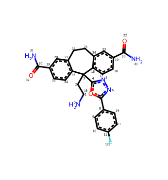 NCCC1(c2nnc(-c3ccc(F)cc3)o2)c2ccc(C(N)=O)cc2CCc2cc(C(N)=O)ccc21